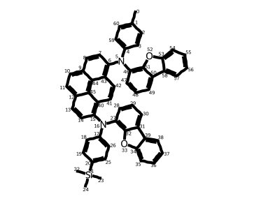 Cc1ccc(N(c2ccc3ccc4ccc(N(c5ccc([Si](C)(C)C)cc5)c5cccc6c5oc5ccccc56)c5ccc2c3c45)c2cccc3c2oc2ccccc23)cc1